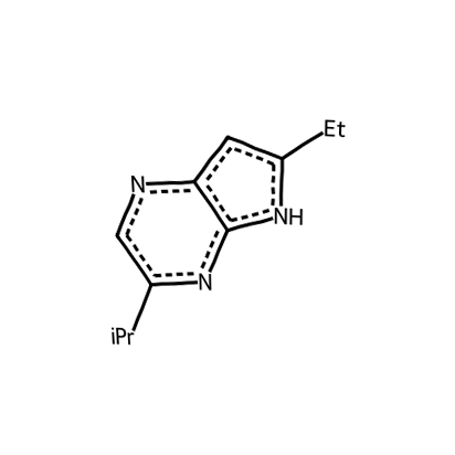 CCc1cc2ncc(C(C)C)nc2[nH]1